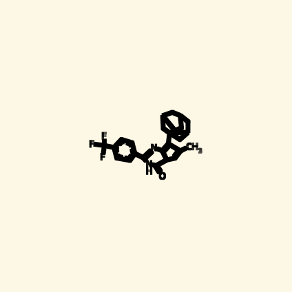 CC1=CC2C(=O)NC(c3ccc(C(F)(F)F)cc3)=NC2=C1C12CC3CC(CC(C3)C1)C2